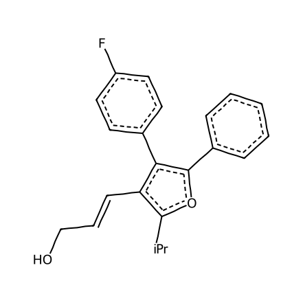 CC(C)c1oc(-c2ccccc2)c(-c2ccc(F)cc2)c1C=CCO